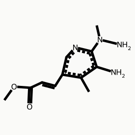 COC(=O)/C=C/c1cnc(N(C)N)c(N)c1C